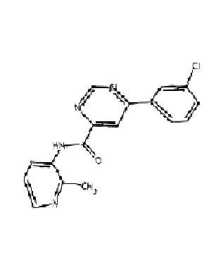 Cc1ncccc1NC(=O)c1cc(-c2cccc(Cl)c2)ncn1